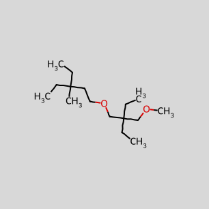 CCC(C)(CC)CCOCC(CC)(CC)COC